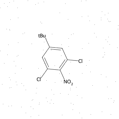 CC(C)(C)c1cc(Cl)c([N+](=O)[O-])c(Cl)c1